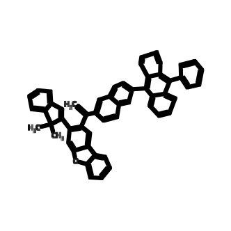 C=C(c1ccc2cc(-c3c4ccccc4c(-c4ccccc4)c4ccccc34)ccc2c1)c1cc2c(cc1C1=Cc3ccccc3C1(C)C)oc1ccccc12